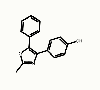 Cc1nc(-c2ccc(O)cc2)c(-c2ccccc2)o1